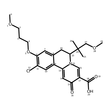 COCCCOc1cc2c(cc1Cl)-c1cc(=O)c(C(=O)O)cn1C(C(C)(C)COC)C2